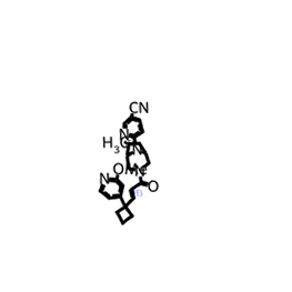 COc1cc(C2(/C=C/C(=O)N3CC4C[C@H](C)C(C3)N4c3ccc(C#N)cn3)CCC2)ccn1